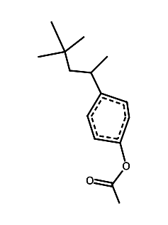 CC(=O)Oc1ccc(C(C)CC(C)(C)C)cc1